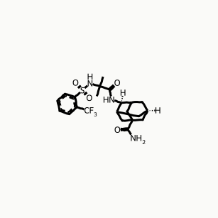 CC(C)(NS(=O)(=O)c1ccccc1C(F)(F)F)C(=O)N[C@H]1C2CC3(C(N)=O)CC1C[C@@H](C2)C3